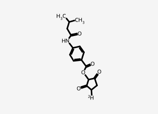 [2H]C1CC(=O)C(OC(=O)c2ccc(NC(=O)CC(C)C)cc2)C1=O